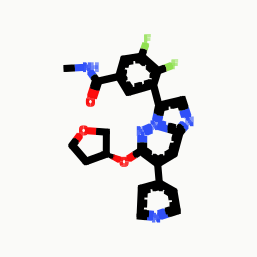 CNC(=O)c1cc(F)c(F)c(-c2cnc3cc(-c4ccncc4)c(O[C@H]4CCOC4)nn23)c1